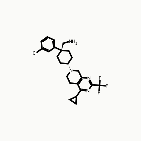 NC[C@]1(c2cccc(Cl)c2)CC[C@@H](N2CCc3c(nc(C(F)(F)F)nc3C3CC3)C2)CC1